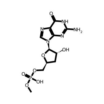 COP(=O)(O)OC[C@@H]1C[C@@H](O)[C@H](n2cnc3c(=O)[nH]c(N)nc32)O1